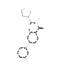 Cn1c(C2CCOC2)nc2cc(-c3cccc(F)c3)ccc2c1=O